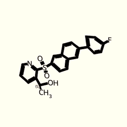 C[C@H](O)c1cccnc1S(=O)(=O)c1ccc2cc(-c3ccc(F)cc3)ccc2c1